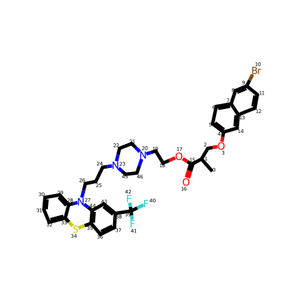 CC(COc1ccc2cc(Br)ccc2c1)C(=O)OCCN1CCN(CCCN2c3ccccc3Sc3ccc(C(F)(F)F)cc32)CC1